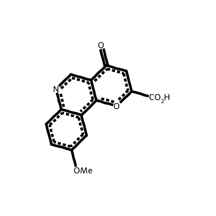 COc1ccc2ncc3c(=O)cc(C(=O)O)oc3c2c1